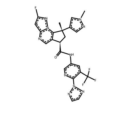 Cn1cc([C@]2(C)C[C@@H](C(=O)Nc3cnc(-n4nccn4)c(C(F)(F)F)c3)c3cnc4cc(F)nn4c32)cn1